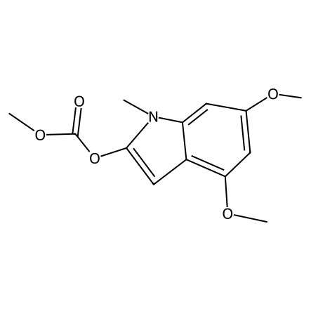 COC(=O)Oc1cc2c(OC)cc(OC)cc2n1C